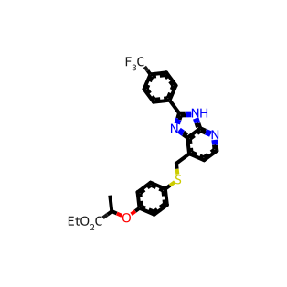 CCOC(=O)C(C)Oc1ccc(SCc2ccnc3[nH]c(-c4ccc(C(F)(F)F)cc4)nc23)cc1